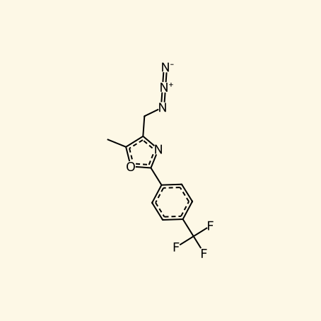 Cc1oc(-c2ccc(C(F)(F)F)cc2)nc1CN=[N+]=[N-]